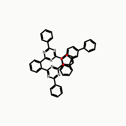 c1ccc(-c2ccc3c(c2)c2ccccc2n3-c2nc(-c3ccccc3)nc(-c3ccccc3-c3nc(-c4ccccc4)nc(-c4ccccc4)n3)n2)cc1